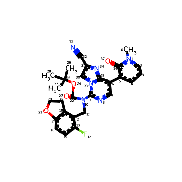 Cn1cccc(-c2cnc(N(Cc3c(F)ccc4c3CCO4)C(=O)OC(C)(C)C)n3cc(C#N)nc23)c1=O